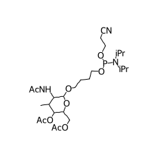 CC(=O)NC1C(OCCCCOP(OCCC#N)N(C(C)C)C(C)C)OC(COC(C)=O)C(OC(C)=O)C1C